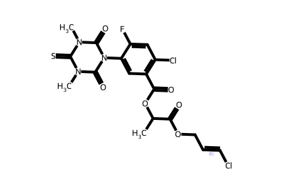 CC(OC(=O)c1cc(-n2c(=O)n(C)c(=S)n(C)c2=O)c(F)cc1Cl)C(=O)OC/C=C/Cl